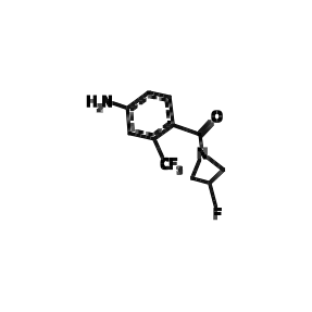 Nc1ccc(C(=O)N2CC(F)C2)c(C(F)(F)F)c1